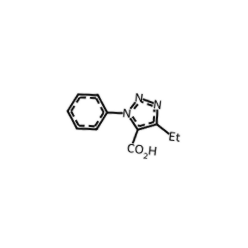 CCc1nnn(-c2ccccc2)c1C(=O)O